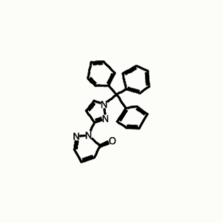 O=c1cccnn1-c1ccn(C(c2ccccc2)(c2ccccc2)c2ccccc2)n1